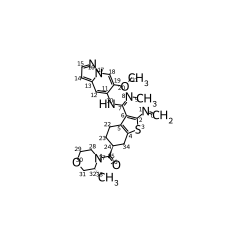 C=Nc1sc2c(c1/C(=N\C)Nc1cc3ccnn3cc1OC)CC[C@H](C(=O)N1CCOC[C@H]1C)C2